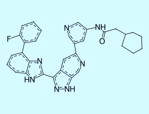 O=C(CC1CCCCC1)Nc1cncc(-c2cc3c(-c4nc5c(-c6ccccc6F)cccc5[nH]4)n[nH]c3cn2)c1